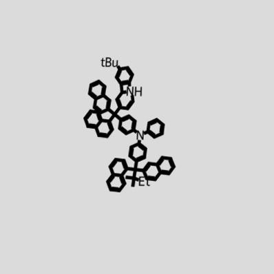 C/C=C\C(=C/C1Nc2ccc(C(C)(C)C)cc21)C(c1ccc(N(c2ccccc2)c2ccc(C(c3ccc4ccccc4c3)(c3cccc4ccccc34)C(C)(C)CC)cc2)cc1)(c1ccc2ccccc2c1)c1cccc2ccccc12